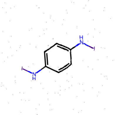 INc1ccc(NI)cc1